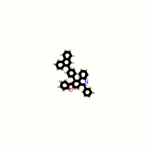 c1ccc(-c2nc3ccccc3c3c(-c4ccc(-c5cc6ccccc6c6ccccc56)cc4)c4c(cc23)oc2ccccc24)cc1